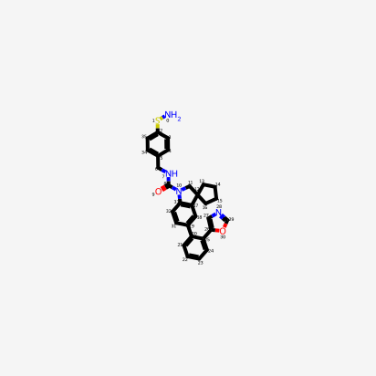 NSc1ccc(CNC(=O)N2CC3(CCCC3)c3cc(-c4ccccc4-c4cnco4)ccc32)cc1